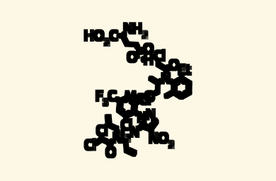 C=CCN(CC=C)C(=O)C(Cl)Cl.CCc1cccc(C)c1N(C(=O)CCl)C(C)COC.CP(=O)(O)CCC(N)C(=O)O.Nc1c([N+](=O)[O-])cnn1-c1c(Cl)cc(C(F)(F)F)cc1Cl